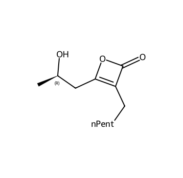 CCCCCCC1=C(C[C@@H](C)O)OC1=O